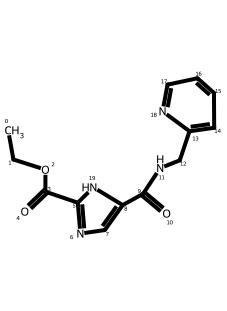 CCOC(=O)c1ncc(C(=O)NCc2ccccn2)[nH]1